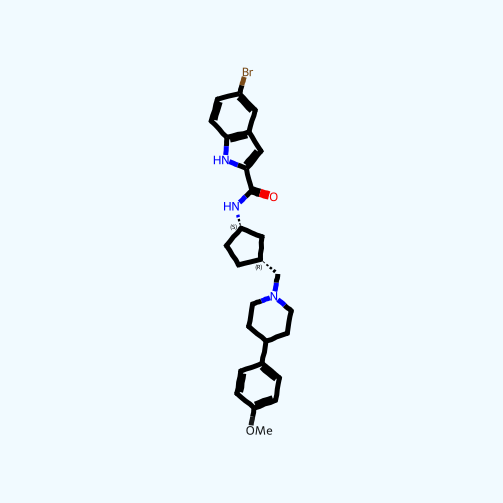 COc1ccc(C2CCN(C[C@@H]3CC[C@H](NC(=O)c4cc5cc(Br)ccc5[nH]4)C3)CC2)cc1